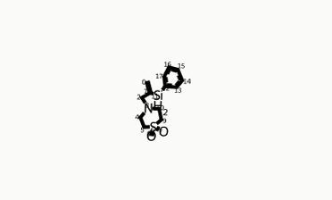 C=C(CN1CCS(=O)(=O)CC1)[SiH2]c1ccccc1